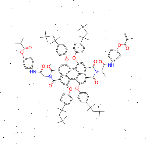 C=C(C)C(=O)Oc1ccc(NC(=O)CN2C(=O)c3cc(Oc4ccc(C(C)(C)CC(C)(C)C)cc4)c4c5c(Oc6ccc(C(C)(C)CC(C)(C)C)cc6)cc6c7c(cc(Oc8ccc(C(C)(C)CC(C)(C)C)cc8)c(c8c(Oc9ccc(C(C)(C)CC(C)(C)C)cc9)cc(c3c48)C2=O)c75)C(=O)N(C(C)C(=O)Nc2ccc(OC(=O)C(=C)C)cc2)C6=O)cc1